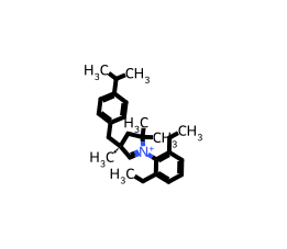 CCc1cccc(CC)c1[N+]1=C[C@@](C)(Cc2ccc(C(C)C)cc2)CC1(C)C